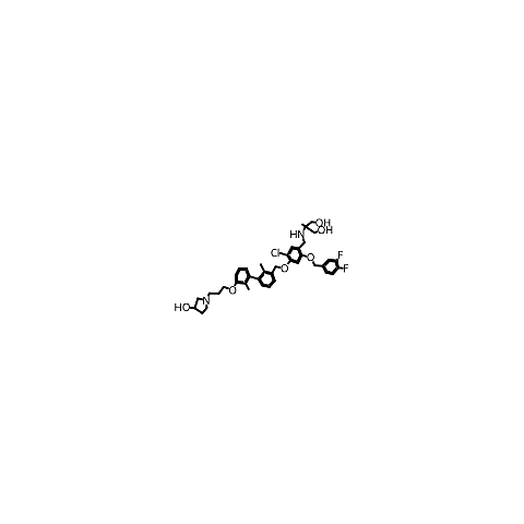 Cc1c(COc2cc(OCc3ccc(F)c(F)c3)c(CNC(C)(CO)CO)cc2Cl)cccc1-c1cccc(OCCCN2CCC(O)C2)c1C